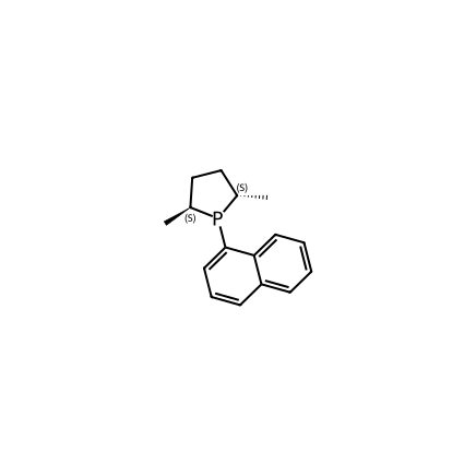 C[C@H]1CC[C@H](C)P1c1cccc2ccccc12